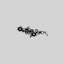 CCOC(=O)c1ccc(F)c(NC(=O)c2nn(Cc3ccccc3)cc2F)c1F